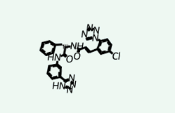 O=C(C=Cc1cc(Cl)ccc1-n1cnnn1)N[C@@H](Cc1ccccc1)C(=O)Nc1cccc(-c2nnn[nH]2)c1